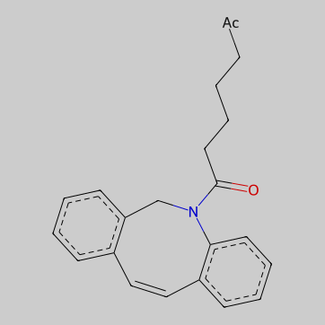 CC(=O)CCCCC(=O)N1Cc2ccccc2/C=C\c2ccccc21